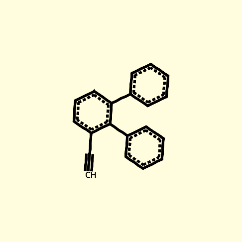 C#Cc1cc[c]c(-c2ccccc2)c1-c1ccccc1